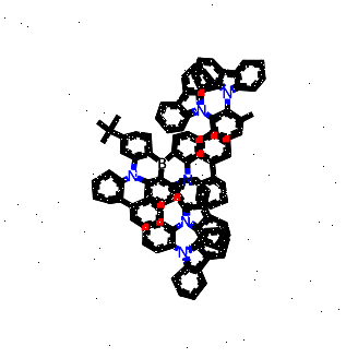 Cc1ccc(-c2ccc3c(c2)N(c2ccccc2-c2ccccc2)c2cc(-c4cccc(-n5c6ccccc6c6ccccc65)c4-n4c5ccccc5c5ccccc54)cc4c2B3c2ccc(C(C)(C)C)cc2N4c2ccccc2-c2ccccc2)c(-n2c3ccccc3c3ccccc32)c1-n1c2ccccc2c2ccccc21